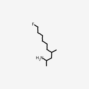 CC(N)CC(C)CCCCCCF